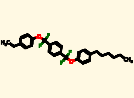 CCCCCCc1ccc(OC(F)(F)c2ccc(C(F)(F)Oc3ccc(CC)cc3)cc2)cc1